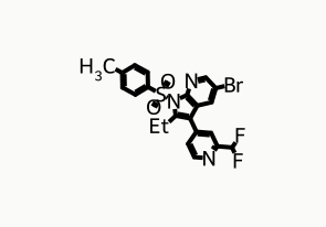 CCc1c(-c2ccnc(C(F)F)c2)c2cc(Br)cnc2n1S(=O)(=O)c1ccc(C)cc1